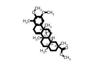 CC[C@@]12CC[C@]3(C)C(=CCc4c3cc(OC)c(OC)c4C)[C@@]1(C)CC[C@@]1(C)CC[C@@](C)(C(=O)OC)C[C@H]12